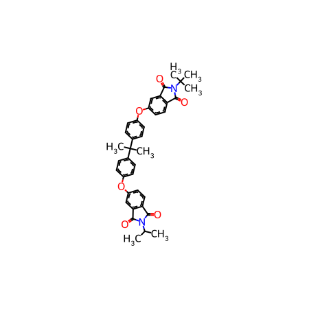 CC(C)N1C(=O)c2ccc(Oc3ccc(C(C)(C)c4ccc(Oc5ccc6c(c5)C(=O)N(C(C)(C)C)C6=O)cc4)cc3)cc2C1=O